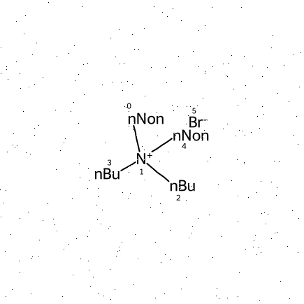 CCCCCCCCC[N+](CCCC)(CCCC)CCCCCCCCC.[Br-]